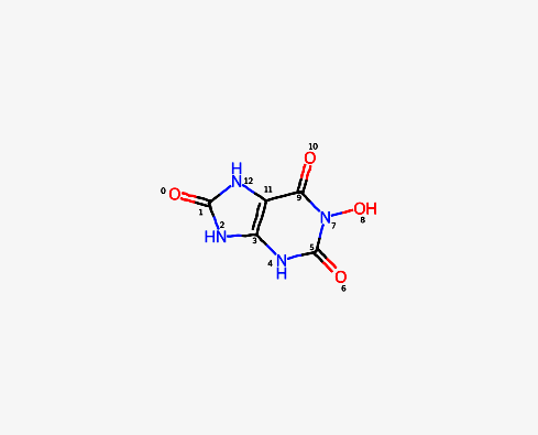 O=c1[nH]c2[nH]c(=O)n(O)c(=O)c2[nH]1